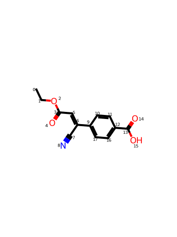 CCOC(=O)C=C(C#N)c1ccc(C(=O)O)cc1